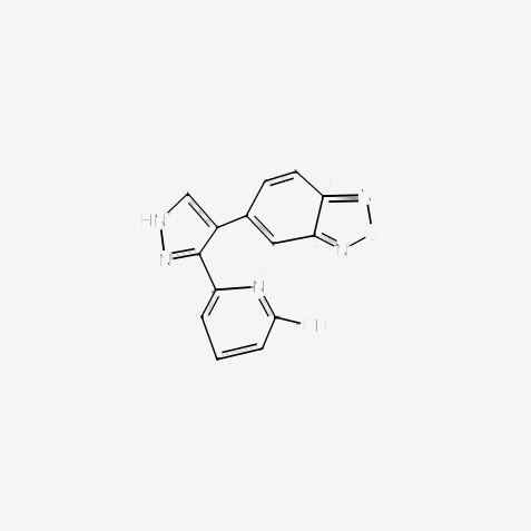 Cc1cccc(-c2n[nH]cc2-c2ccc3nsnc3c2)n1